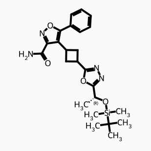 C[C@@H](O[Si](C)(C)C(C)(C)C)c1nnc(C2CC(c3c(C(N)=O)noc3-c3ccccc3)C2)o1